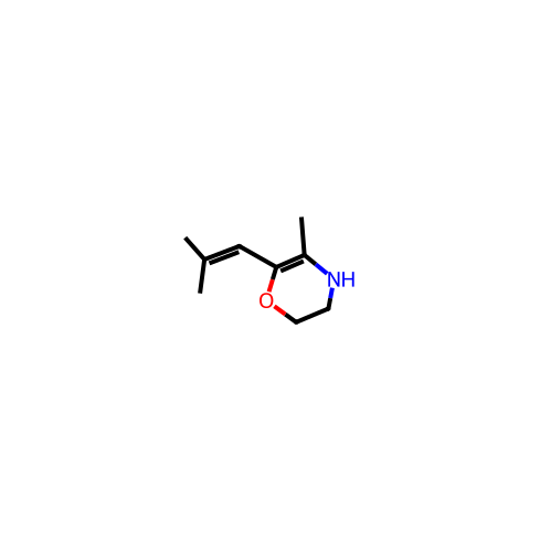 CC(C)=CC1=C(C)NCCO1